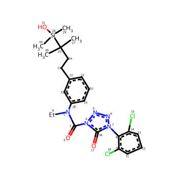 CCN(C(=O)n1nnn(-c2c(Cl)cccc2Cl)c1=O)c1cccc(CCC(C)(C)[Si](C)(C)O)c1